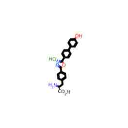 Cl.N[C@@H](Cc1ccc(-c2nnc(-c3ccc(-c4ccc(O)cc4)cc3)o2)cc1)C(=O)O